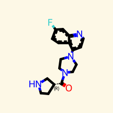 O=C([C@@H]1CCNC1)N1CCN(c2ccnc3cc(F)ccc23)CC1